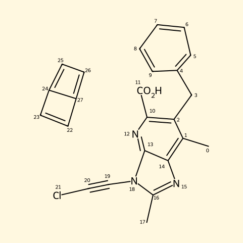 Cc1c(Cc2ccccc2)c(C(=O)O)nc2c1nc(C)n2C#CCl.c1cc2ccc1-2